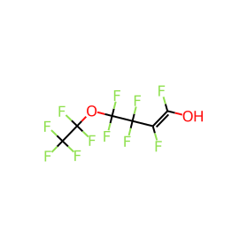 OC(F)=C(F)C(F)(F)C(F)(F)OC(F)(F)C(F)(F)F